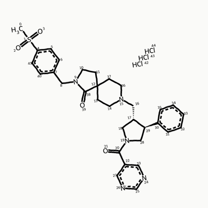 CS(=O)(=O)c1ccc(CN2CCC3(CCN(C[C@H]4CN(C(=O)c5cncnc5)C[C@@H]4c4ccccc4)CC3)C2=O)cc1.Cl.Cl.Cl